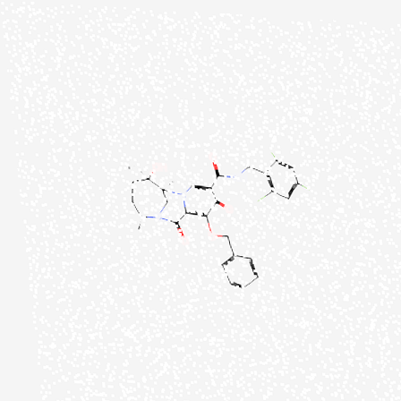 CCC[C@]1(O)CC[C@H](C)N2C[C@H]1n1cc(C(=O)NCc3c(F)cc(F)cc3F)c(=O)c(OCc3ccccc3)c1C2=O